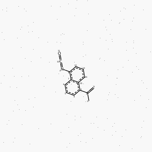 C=C(C)c1cccc2c(N=C=O)cccc12